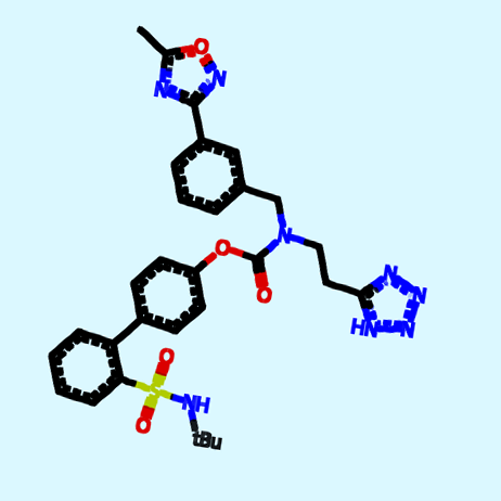 Cc1nc(-c2cccc(CN(CCc3nnn[nH]3)C(=O)Oc3ccc(-c4ccccc4S(=O)(=O)NC(C)(C)C)cc3)c2)no1